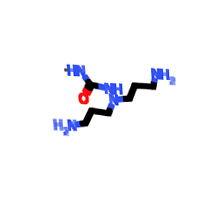 [NH]C(=O)NN(CCCN)CCCN